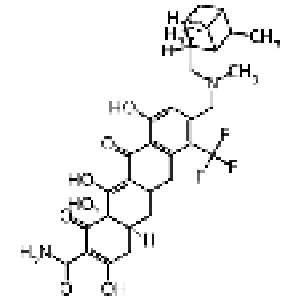 CC1C2CC[C@@H](CN(C)Cc3cc(O)c4c(c3C(F)(F)F)CC3C[C@H]5CC(O)=C(C(N)=O)C(=O)[C@@]5(O)C(O)=C3C4=O)C1C2(C)C